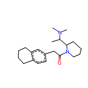 CC(C1CCCCN1C(=O)Cc1ccc2c(c1)CCCC2)N(C)C